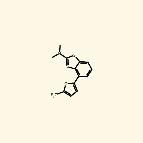 CN(C)c1nc2c(-c3ccc(C(F)(F)F)o3)cccc2s1